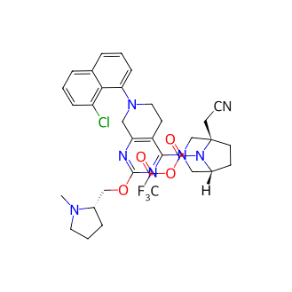 CN1CCC[C@H]1COc1nc2c(c(N3C[C@H]4CC[C@@](CC#N)(C3)N4C(=O)OC(=O)C(F)(F)F)n1)CCN(c1cccc3cccc(Cl)c13)C2